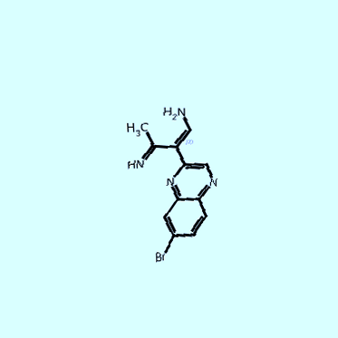 CC(=N)/C(=C\N)c1cnc2ccc(Br)cc2n1